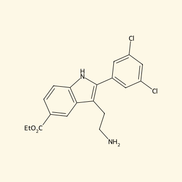 CCOC(=O)c1ccc2[nH]c(-c3cc(Cl)cc(Cl)c3)c(CCN)c2c1